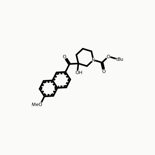 COc1ccc2cc(C(=O)C3(O)CCCN(C(=O)OC(C)(C)C)C3)ccc2c1